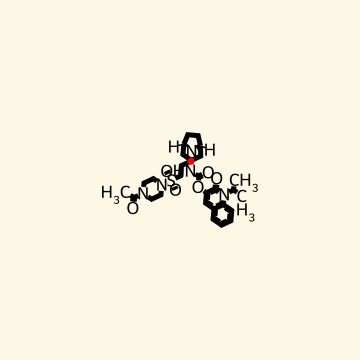 CC(=O)N1CCN(S(=O)(=O)CCCN2[C@@H]3CC[C@H]2C[C@H](NC(=O)Oc2cc4ccccc4n(C(C)C)c2=O)C3)CC1